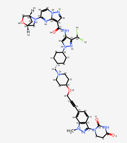 Cn1nc(N2CCC(=O)NC2=O)c2ccc(C#CCOC3CCN(C[C@H]4CC[C@H](n5cc(NC(=O)c6cnn7ccc(N8C[C@H]9C[C@@H]8CO9)nc67)c(C(F)F)n5)CC4)CC3)cc21